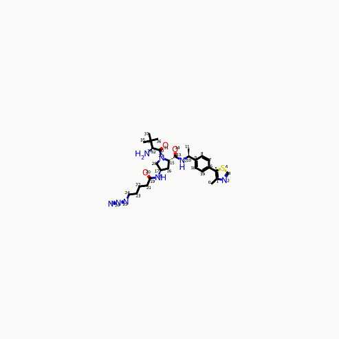 Cc1ncsc1-c1ccc([C@H](C)NC(=O)[C@@H]2C[C@@H](NC(=O)CCCCN=[N+]=[N-])CN2C(=O)[C@@H](N)C(C)(C)C)cc1